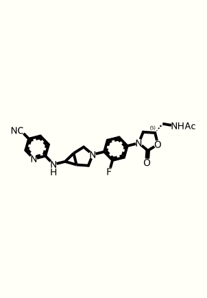 CC(=O)NC[C@H]1CN(c2ccc(N3CC4C(C3)C4Nc3ccc(C#N)cn3)c(F)c2)C(=O)O1